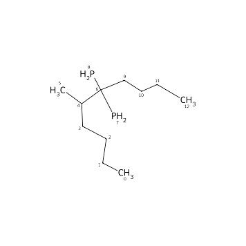 CCCCC(C)C(P)(P)CCCC